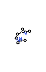 c1ccc(-c2cnc3c(c2)-c2ccccc2C(CCc2cccc(-c4cccc(-n5c6ccccc6c6cc(-c7ccccc7)cnc65)c4)c2)C3)cc1